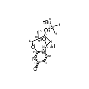 CC(C)(C)[Si](C)(C)OC1C[C@@H]2O[C@]1(C)COc1nc(=O)ccn12